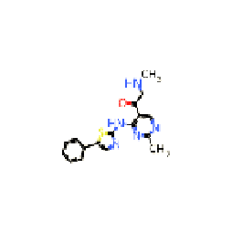 CNCC(=O)c1cnc(C)nc1Nc1ncc(-c2ccccc2)s1